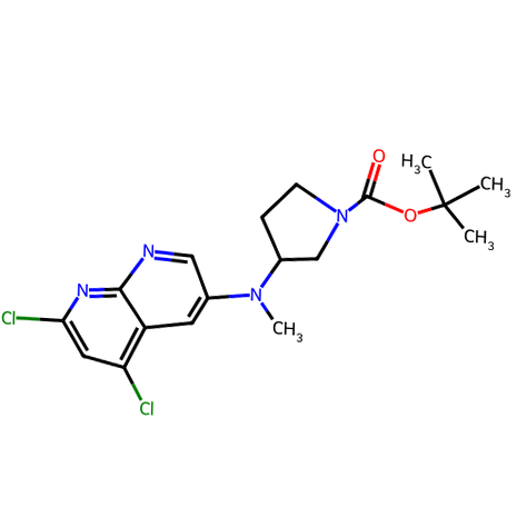 CN(c1cnc2nc(Cl)cc(Cl)c2c1)C1CCN(C(=O)OC(C)(C)C)C1